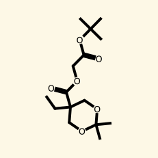 CCC1(C(=O)OCC(=O)OC(C)(C)C)COC(C)(C)OC1